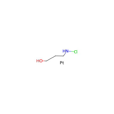 OCCCNCl.[Pt]